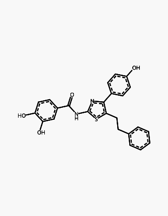 O=C(Nc1nc(-c2ccc(O)cc2)c(CCc2ccccc2)s1)c1ccc(O)c(O)c1